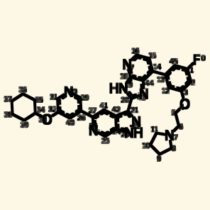 Fc1cc(OCCN2CCCC2)cc(-c2ccnc3[nH]c(-c4n[nH]c5cnc(-c6cncc(OC7CCCCC7)c6)cc45)nc23)c1